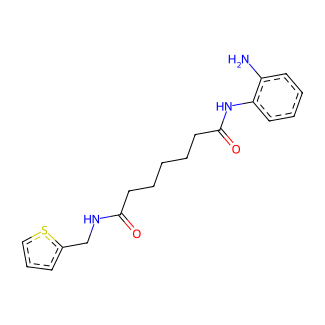 Nc1ccccc1NC(=O)CCCCCC(=O)NCc1cccs1